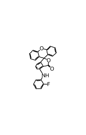 O=C1OC2(c3ccccc3Oc3ccccc32)c2cccc(Nc3ccccc3F)c21